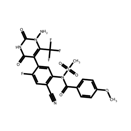 COc1ccc(C(=O)N(c2cc(-c3c(C(F)(F)F)n(N)c(=O)[nH]c3=O)c(F)cc2C#N)S(C)(=O)=O)cc1